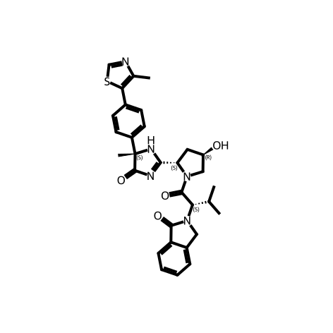 Cc1ncsc1-c1ccc([C@]2(C)NC([C@@H]3C[C@@H](O)CN3C(=O)[C@H](C(C)C)N3Cc4ccccc4C3=O)=NC2=O)cc1